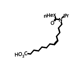 CCCCCCC(=O)N(CCCC/C=C\CCCCCCC(=O)O)C(C)C